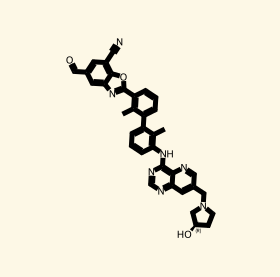 Cc1c(Nc2ncnc3cc(CN4CC[C@@H](O)C4)cnc23)cccc1-c1cccc(-c2nc3cc(C=O)cc(C#N)c3o2)c1C